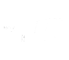 O=C(O)NC1CC2CCC(C2)C1